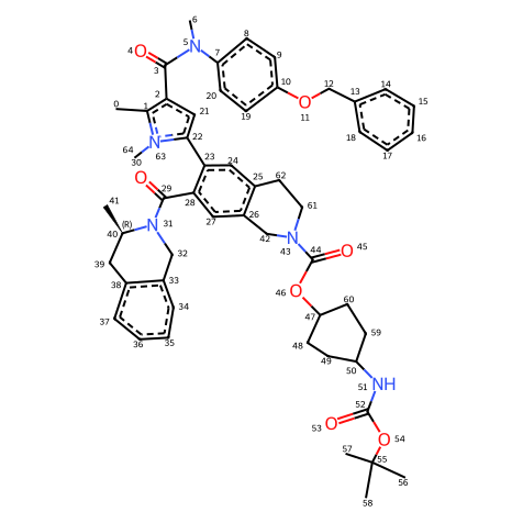 Cc1c(C(=O)N(C)c2ccc(OCc3ccccc3)cc2)cc(-c2cc3c(cc2C(=O)N2Cc4ccccc4C[C@H]2C)CN(C(=O)OC2CCC(NC(=O)OC(C)(C)C)CC2)CC3)n1C